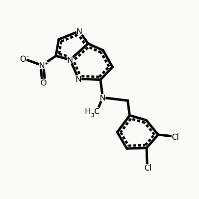 CN(Cc1ccc(Cl)c(Cl)c1)c1ccc2ncc([N+](=O)[O-])n2n1